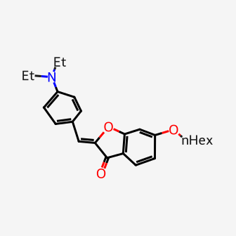 CCCCCCOc1ccc2c(c1)O/C(=C\c1ccc(N(CC)CC)cc1)C2=O